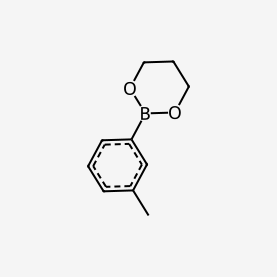 Cc1cccc(B2OCCCO2)c1